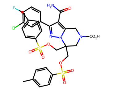 Cc1ccc(S(=O)(=O)OCC2(COS(=O)(=O)c3ccc(C)cc3)CN(C(=O)O)Cc3c(C(N)=O)c(-c4ccc(F)c(Cl)c4)nn32)cc1